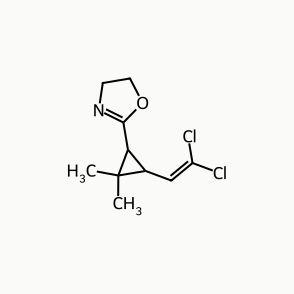 CC1(C)C(C=C(Cl)Cl)C1C1=NCCO1